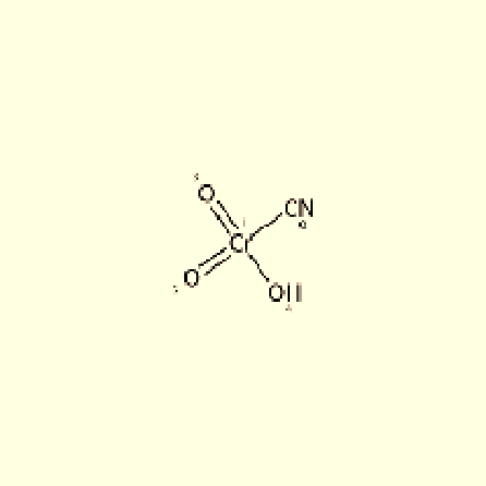 N#[C][Cr](=[O])(=[O])[OH]